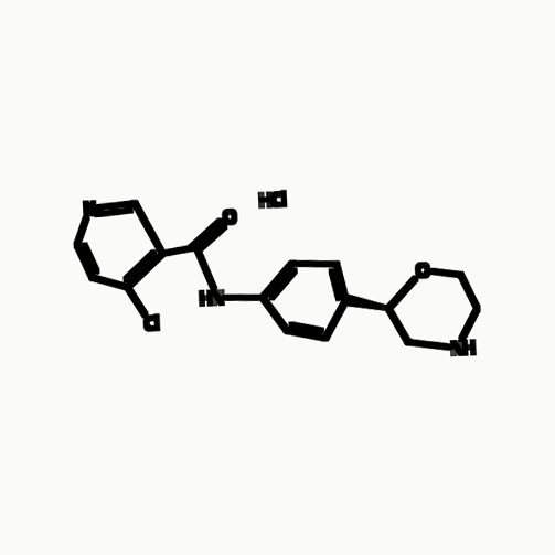 Cl.O=C(Nc1ccc([C@@H]2CNCCO2)cc1)c1cnccc1Cl